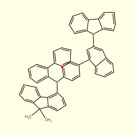 CC1(C)c2ccccc2-c2c(N(c3ccc(-c4cc(-n5c6ccccc6c6ccccc65)cc5ccccc45)cc3)c3ccccc3-c3ccccc3)cccc21